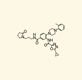 Cc1ccccc1N1CCN(c2ccc(C(=O)NCCCN3CCCC3=O)cc2NC(=O)c2nnc(C3CC3)o2)CC1